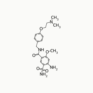 COc1cc(N)c(S(N)(=O)=O)cc1C(=O)NCc1ccc(OCCN(C)C)cc1